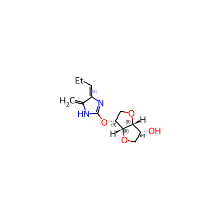 C=c1[nH]c(O[C@@H]2CO[C@H]3[C@@H]2OC[C@H]3O)n/c1=C/CC